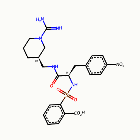 N=C(N)N1CCC[C@H](CNC(=O)[C@@H](Cc2ccc([N+](=O)[O-])cc2)NS(=O)(=O)c2ccccc2C(=O)O)C1